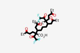 CCC(=O)CCC(C(=O)O)(C(=O)C(F)F)C(CCCC(CC(=O)CC)C(CCC(=O)CC)(C(=O)O)C(=O)C(F)F)CC(=O)CC